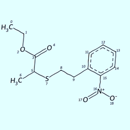 CCOC(=O)C(C)SCCc1ccccc1[N+](=O)[O-]